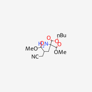 CCCCOC(=O)C(N)(CC(CC#N)C(=O)OC)C(=O)OC